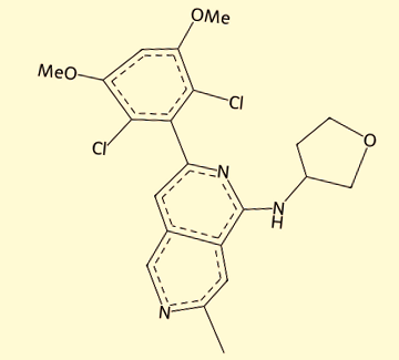 COc1cc(OC)c(Cl)c(-c2cc3cnc(C)cc3c(NC3CCOC3)n2)c1Cl